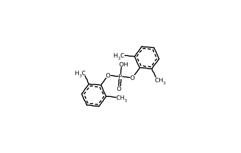 Cc1cccc(C)c1OP(=O)(O)Oc1c(C)cccc1C